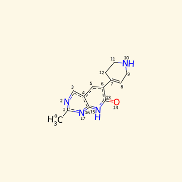 Cc1ncc2cc(C3=CCNCC3)c(=O)[nH]c2n1